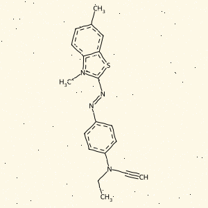 C#CN(CC)c1ccc(/N=N/c2sc3cc(C)ccc3[n+]2C)cc1